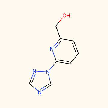 OCc1cccc(-n2cncn2)n1